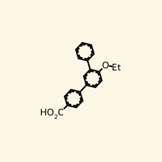 CCOc1ccc(-c2ccc(C(=O)O)cc2)cc1-c1ccccc1